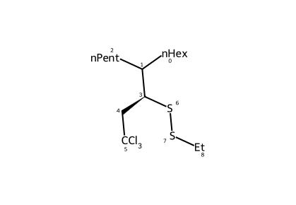 CCCCCCC(CCCCC)[C@H](CC(Cl)(Cl)Cl)SSCC